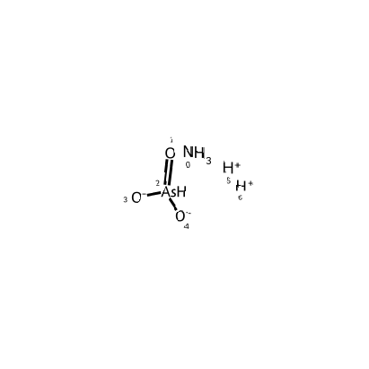 N.O=[AsH]([O-])[O-].[H+].[H+]